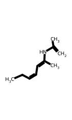 C=C(C)N/C(C)=C/C=C\CC